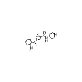 C=Nc1ccccc1N(C)c1csc(C(=O)Nc2ccncc2)c1